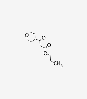 CCCOC(=O)CC(=O)C1CCOCC1